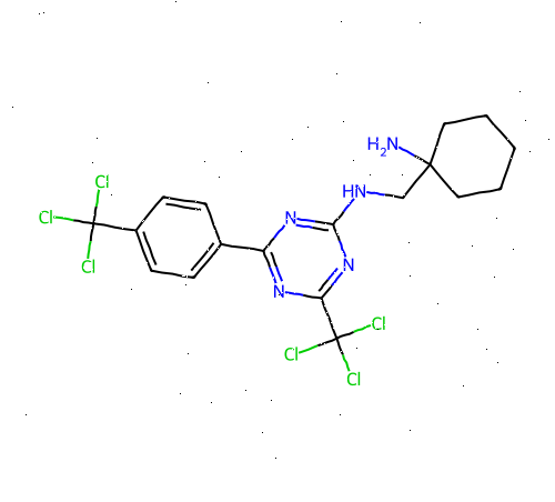 NC1(CNc2nc(-c3ccc(C(Cl)(Cl)Cl)cc3)nc(C(Cl)(Cl)Cl)n2)CCCCC1